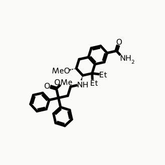 CCC1(CC)c2cc(C(N)=O)ccc2C[C@@H](OC)[C@H]1NCCC(C(=O)OC)(c1ccccc1)c1ccccc1